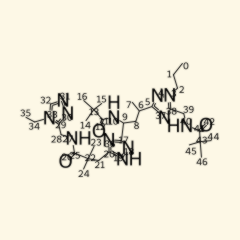 CCCn1nc(C(C)CC(NC(=O)C(C)(C)C)c2n[nH]c(CC(C)(C)C(=O)NCc3nncn3CC)n2)nc1CNC(=O)C(C)(C)C